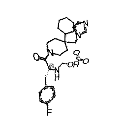 O=C([C@@H](Cc1ccc(F)cc1)NCO[SH](=O)=O)N1CCC(Cn2ccnc2)(C2CCCCC2)CC1